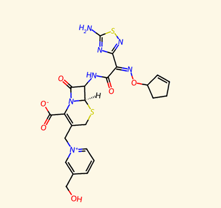 Nc1nc(/C(=N/OC2C=CCC2)C(=O)NC2C(=O)N3C(C(=O)[O-])=C(C[n+]4cccc(CO)c4)CS[C@H]23)ns1